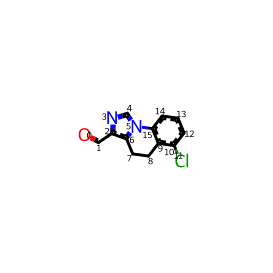 O=Cc1ncn2c1CCc1c(Cl)cccc1-2